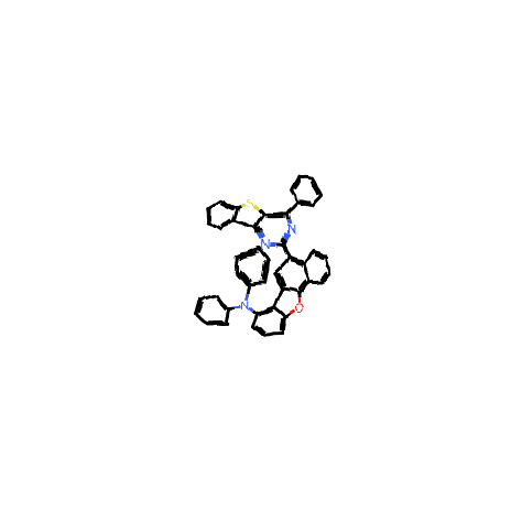 c1ccc(-c2nc(-c3cc4c(oc5cccc(N(c6ccccc6)c6ccccc6)c54)c4ccccc34)nc3c2sc2ccccc23)cc1